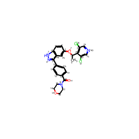 CC(Oc1ccc2[nH]nc(-c3ccc(C(=O)N4CCOCC4)cc3)c2c1)c1c(Cl)cncc1Cl